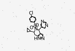 O=S(=O)(c1ccc(Cl)cc1)N1C(c2cncnc2)c2cn[nH]c2CC1C1CC1